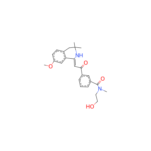 COc1ccc2c(c1)/C(=C/C(=O)c1cccc(C(=O)N(C)CCO)c1)NC(C)(C)C2